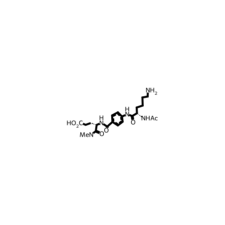 CNC(=O)[C@H](CCC(=O)O)NC(=O)c1ccc(NC(=O)[C@H](CCCCN)NC(C)=O)cc1